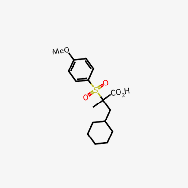 COc1ccc(S(=O)(=O)C(C)(CC2CCCCC2)C(=O)O)cc1